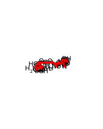 [N-]=[N+]=NCOC1(CCOP(=O)(O)OP(=O)(O)OP(=O)(O)O)CC[C@H](n2cc(C#CCNC(=O)CCSSCCNC(=O)c3ccc(C(=O)O)c(-c4c5ccc(=N)c(S(=O)(=O)O)c-5oc5c(S(=O)(=O)O)c(N)ccc45)c3)c(N)nc2=O)OC1